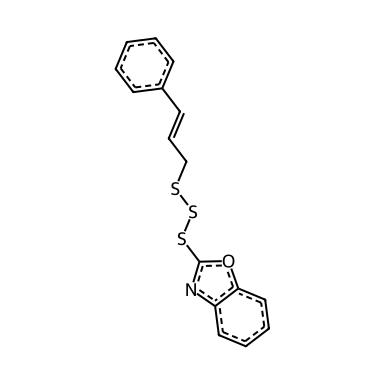 C(=C\c1ccccc1)/CSSSc1nc2ccccc2o1